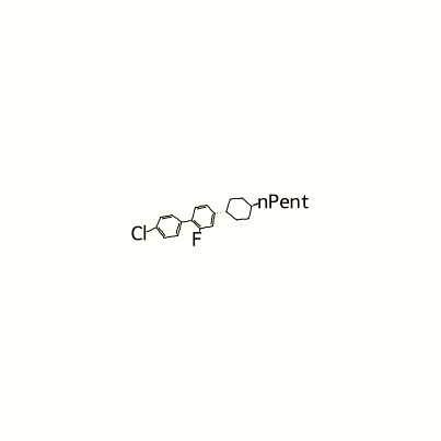 CCCCC[C@H]1CC[C@H](c2ccc(-c3ccc(Cl)cc3)c(F)c2)CC1